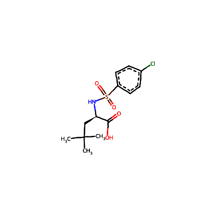 CC(C)(C)C[C@@H](NS(=O)(=O)c1ccc(Cl)cc1)C(=O)O